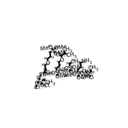 C=C(C)C(=O)OCCC[Si](OC)(OC)OC.C=C[Si](Cl)(Cl)Cl.C=C[Si](OC(C)=O)(OC(C)=O)OC(C)=O.C=C[Si](OCC)(OCC)OCC.CO[Si](CCCN)(OC)OC.CO[Si](CCCOCC1CO1)(OC)OC